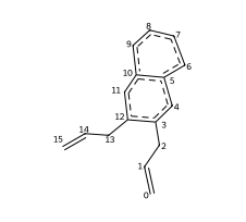 C=CCc1cc2ccccc2cc1CC=C